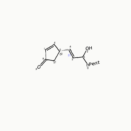 CCCCCC(O)/C=C/[C@H]1C=CC(=O)C1